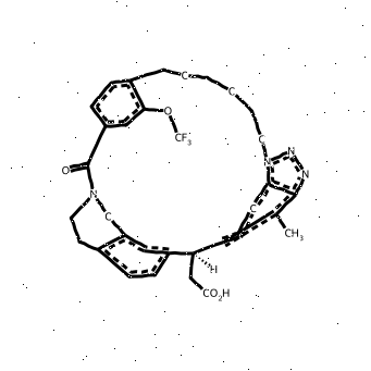 Cc1c2ccc3c1nnn3CCCCCCc1ccc(cc1OC(F)(F)F)C(=O)N1CCc3ccc(cc3C1)[C@@H]2CC(=O)O